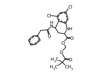 CC(C)(C)C(=O)OCOC(=O)C1CC(NC(=O)Cc2ccccc2)c2c(Cl)cc(Cl)cc2N1